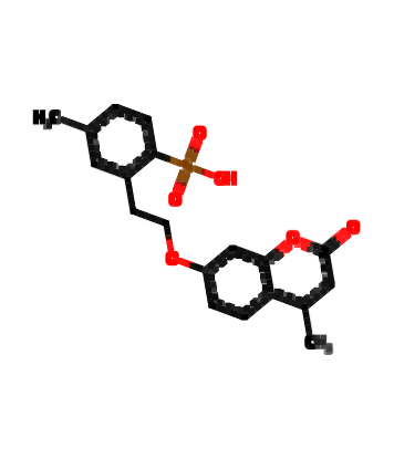 Cc1ccc(S(=O)(=O)O)c(CCOc2ccc3c(C)cc(=O)oc3c2)c1